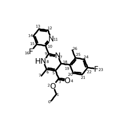 CCOC(=O)C1=C(C)NC(c2ncccc2F)=NC1c1ccc(F)cc1C